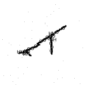 CCCNC(=O)CN(CCOCCOCCOCC1CC1(C)CCOCCOCCOCCN(CC(=O)NCCOCCCCCOCCC)CC(=O)NCCOCCOCCOCCC)CC(=O)NCCC